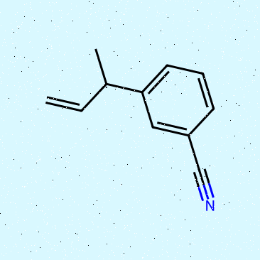 C=C[C](C)c1cccc(C#N)c1